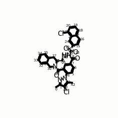 Cc1nn(-c2ccc(C(=O)NS(=O)(=O)c3ccc4cccc(Cl)c4c3)cc2C(=O)N2Cc3ccccc3C[C@H]2CN)c(C)c1Cl